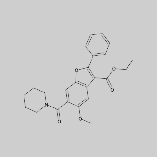 CCOC(=O)c1c(-c2ccccc2)oc2cc(C(=O)N3CCCCC3)c(OC)cc12